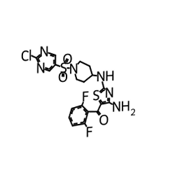 Nc1nc(NC2CCN(S(=O)(=O)c3cnc(Cl)nc3)CC2)sc1C(=O)c1c(F)cccc1F